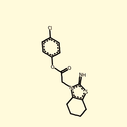 N=c1sc2c(n1CC(=O)Oc1ccc(Cl)cc1)CCCC2